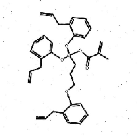 C=CCc1ccccc1OCCC[Si](OC(=O)C(=C)C)(Oc1ccccc1CC=C)Oc1ccccc1CC=C